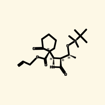 C=CCOC(=O)[C@]1([C@H]2NC(=O)[C@@H]2[C@@H](C)O[Si](C)(C)C(C)(C)C)CCCCC1=O